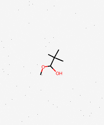 [CH2]OC(O)C(C)(C)C